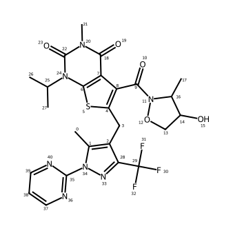 Cc1c(Cc2sc3c(c2C(=O)N2OCC(O)C2C)c(=O)n(C)c(=O)n3C(C)C)c(C(F)(F)F)nn1-c1ncccn1